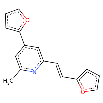 Cc1cc(-c2ccco2)cc(C=Cc2ccco2)n1